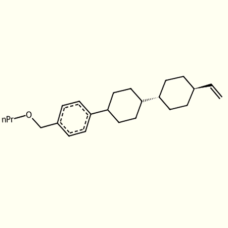 C=C[C@H]1CC[C@H](C2CCC(c3ccc(COCCC)cc3)CC2)CC1